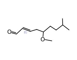 COC(C/C=C/C=O)CCC(C)C